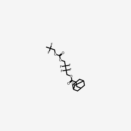 CC(F)(F)COC(=O)OCC(F)(F)C(F)(F)COC(=O)C12CC3CC(C1)C(=O)C(C3)C2